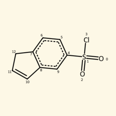 O=S(=O)(Cl)c1ccc2c(c1)C=CC2